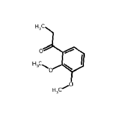 CCC(=O)c1cccc(OC)c1OC